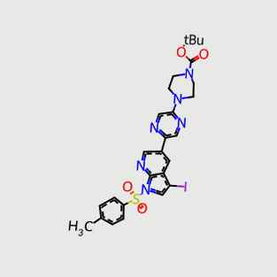 Cc1ccc(S(=O)(=O)n2cc(I)c3cc(-c4cnc(N5CCN(C(=O)OC(C)(C)C)CC5)cn4)cnc32)cc1